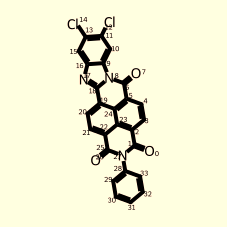 O=C1c2ccc3c(=O)n4c5cc(Cl)c(Cl)cc5nc4c4ccc(c2c34)C(=O)N1c1ccccc1